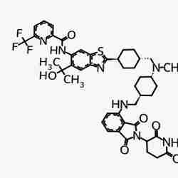 CN(C[C@H]1CC[C@H](c2nc3cc(C(C)(C)O)c(NC(=O)c4cccc(C(F)(F)F)n4)cc3s2)CC1)[C@H]1CC[C@H](CNc2cccc3c2C(=O)N(C2CCC(=O)NC2=O)C3=O)CC1